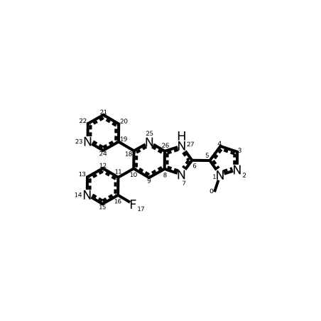 Cn1nccc1-c1nc2cc(-c3ccncc3F)c(-c3cccnc3)nc2[nH]1